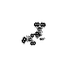 O=S(=O)([O-])c1c(C=Cc2ccc(Nc3nc(Oc4cccc5ccccc45)cc(Oc4cccc5ccccc45)n3)cc2)ccc(Nc2nc(Oc3cccc4ccccc34)cc(Oc3cccc4ccccc34)n2)c1S(=O)(=O)[O-].[Na+].[Na+]